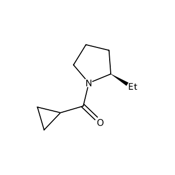 CC[C@@H]1CCCN1C(=O)C1CC1